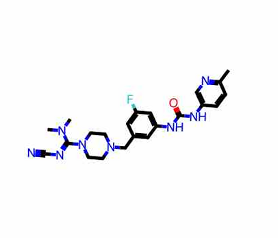 Cc1ccc(NC(=O)Nc2cc(F)cc(CN3CCN(C(=NC#N)N(C)C)CC3)c2)cn1